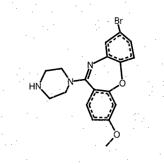 COc1ccc2c(c1)Oc1ccc(Br)cc1N=C2N1CCNCC1